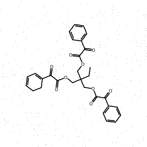 CCC(COC(=O)C(=O)C1=CC=CCC1)(COC(=O)C(=O)c1ccccc1)COC(=O)C(=O)c1ccccc1